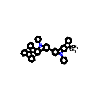 CC1(C)c2ccccc2-c2cc3c4cc(-c5ccc6c(c5)c5ccc7c(c5n6-c5ccccc5)-c5ccccc5C75c6ccccc6-c6ccccc65)ccc4n(-c4ccccc4)c3cc21